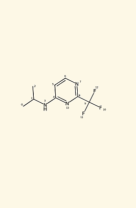 CC(C)Nc1ccnc(C(F)(F)F)n1